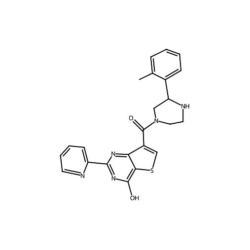 Cc1ccccc1C1CN(C(=O)c2csc3c(O)nc(-c4ccccn4)nc23)CCN1